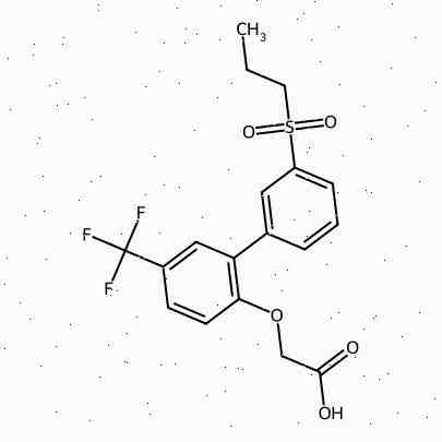 CCCS(=O)(=O)c1cccc(-c2cc(C(F)(F)F)ccc2OCC(=O)O)c1